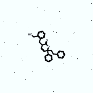 O=C1OC(CCc2ccccc2)(c2ccccc2)C=CC1Cc1ccccc1CO